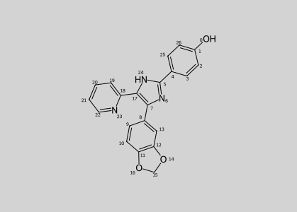 Oc1ccc(-c2nc(-c3ccc4c(c3)OCO4)c(-c3ccccn3)[nH]2)cc1